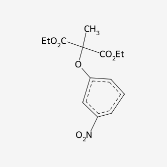 CCOC(=O)C(C)(Oc1cccc([N+](=O)[O-])c1)C(=O)OCC